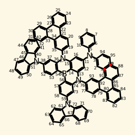 c1ccc(N(c2ccccc2)c2cc3c4c(c2)N(c2ccc5c6ccccc6c6ccccc6c5c2)c2cc(-n5c6ccccc6c6ccccc65)ccc2B4c2ccc(-n4c5ccccc5c5ccccc54)cc2N3c2ccc3c4ccccc4c4ccccc4c3c2)cc1